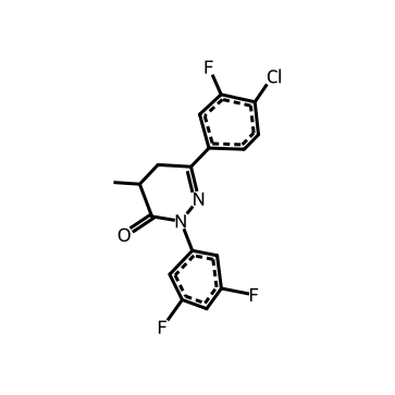 CC1CC(c2ccc(Cl)c(F)c2)=NN(c2cc(F)cc(F)c2)C1=O